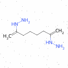 C=C(CCCCC(=C)NN)NN